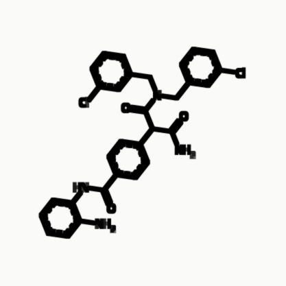 NC(=O)C(C(=O)N(Cc1cccc(Cl)c1)Cc1cccc(Cl)c1)c1ccc(C(=O)Nc2ccccc2N)cc1